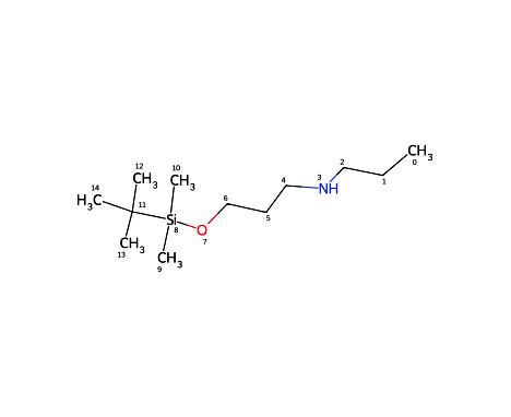 CCCNCCCO[Si](C)(C)C(C)(C)C